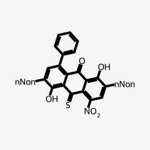 CCCCCCCCCc1cc(-c2ccccc2)c2c(c1O)C(=S)c1c([N+](=O)[O-])cc(CCCCCCCCC)c(O)c1C2=O